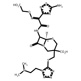 CN(C)CCn1nnnc1SCC1(C(=O)O)CS[C@@H]2C(NC(=O)C(=NOCC(=O)O)c3nsc(N)n3)C(=O)N2C1